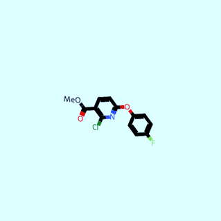 COC(=O)c1ccc(Oc2ccc(F)cc2)nc1Cl